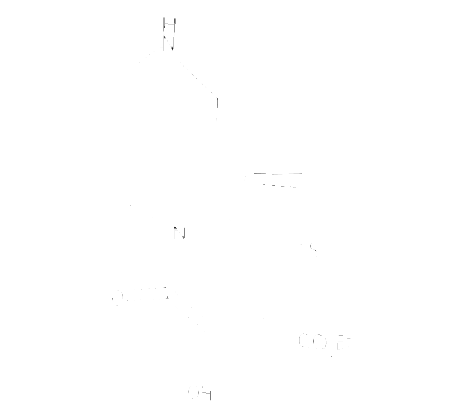 CCOC(=O)c1c(O)c(=O)n(CC2CCNCC2)c2ccsc12